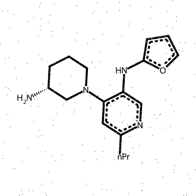 CCCc1cc(N2CCC[C@@H](N)C2)c(Nc2ccco2)cn1